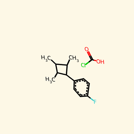 CC1C(C)C(c2ccc(F)cc2)C1C.O=C(O)Cl